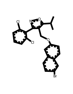 CC(C)c1onc(-c2c(Cl)cccc2Cl)c1COc1ccc2cc(Br)ccc2c1